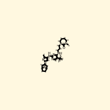 Cc1nn(C2CC3CCC(C2)N3C)cc1Nc1ncc(C(F)(F)F)c(NCCCN2CCCCN(C)C2=O)n1